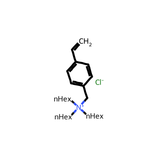 C=Cc1ccc(C[N+](CCCCCC)(CCCCCC)CCCCCC)cc1.[Cl-]